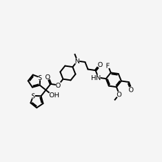 COc1cc(NC(=O)CCN(C)C2CCC(OC(=O)C(O)(c3cccs3)c3cccs3)CC2)c(F)cc1C=O